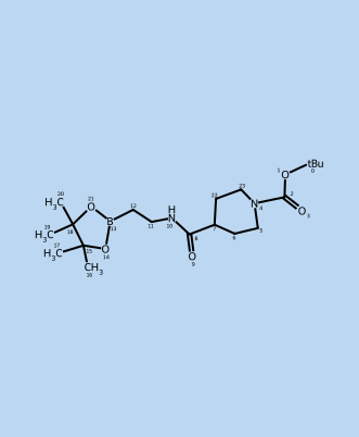 CC(C)(C)OC(=O)N1CCC(C(=O)NCCB2OC(C)(C)C(C)(C)O2)CC1